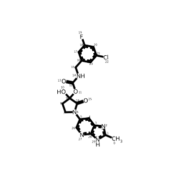 Cc1nc2cc(N3CCC(O)(OC(=O)NCc4cc(F)cc(Cl)c4)C3=O)cnc2[nH]1